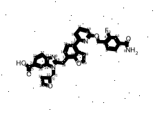 NC(=O)c1ccc(COc2cccc(-c3ccc(Cc4nc5ccc(C(=O)O)cc5n4C[C@@H]4CCO4)c4c3CCO4)n2)c(F)c1